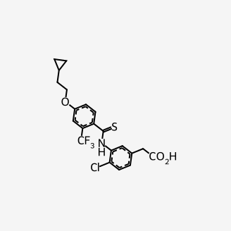 O=C(O)Cc1ccc(Cl)c(NC(=S)c2ccc(OCCC3CC3)cc2C(F)(F)F)c1